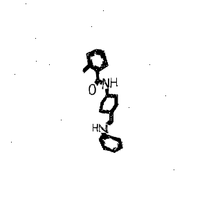 Cc1ccccc1C(=O)NC1CCC(CNc2ccccc2)CC1